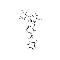 O=C(O)/C(=C/c1cccc(OCc2ccccc2Cl)c1)NC(=O)c1ccccc1